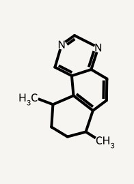 CC1CCC(C)c2c1ccc1ncncc21